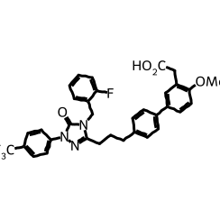 COc1ccc(-c2ccc(CCCc3nn(-c4ccc(C(F)(F)F)cc4)c(=O)n3Cc3ccccc3F)cc2)cc1CC(=O)O